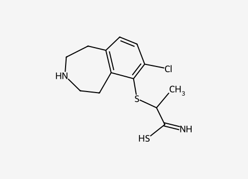 CC(Sc1c(Cl)ccc2c1CCNCC2)C(=N)S